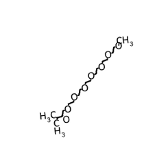 COCCOCCOCCOCCOCCOCCOCC(=O)C(C)C